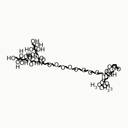 CC(C)(C)OC(=O)CC[C@H](NC(=O)CN1C(=O)C=CC1=O)C(=O)NCCOCCOCCOCCOCCOCCOCCOCCOCCC(=O)N[C@@H](CCC(=O)NC[C@H](O)[C@@H](O)[C@H](O)[C@H](O)CO)C(=O)NC[C@H](O)[C@@H](O)[C@H](O)[C@H](O)CO